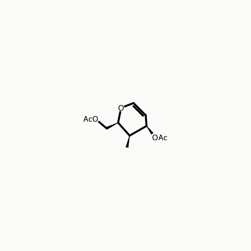 CC(=O)OC[C@H]1OC=C[C@@H](OC(C)=O)[C@H]1C